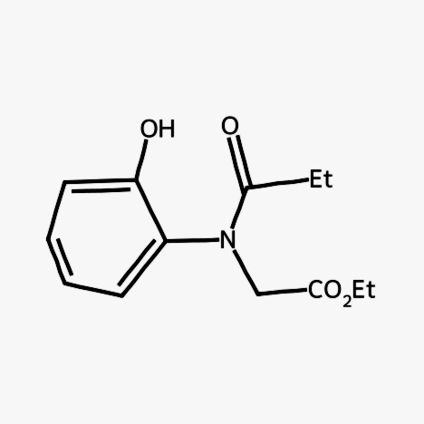 CCOC(=O)CN(C(=O)CC)c1ccccc1O